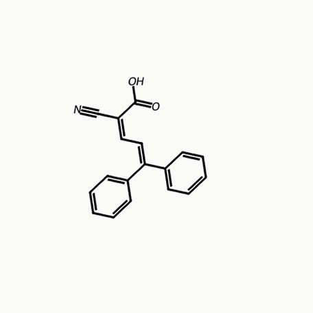 N#CC(=CC=C(c1ccccc1)c1ccccc1)C(=O)O